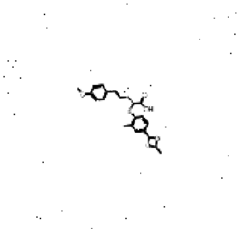 COc1ccc(CCC[C@H](Sc2ccc(C3OC(C)O3)cc2C)C(=O)O)cc1